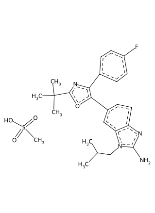 CC(C)Cn1c(N)nc2ccc(-c3oc(C(C)(C)C)nc3-c3ccc(F)cc3)cc21.CS(=O)(=O)O